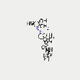 C=C1/C(=C\C=C2/CCC[C@]3(C)C([C@H](C)OCC(=O)NCC(F)(F)C(F)(F)F)=CCC23)C[C@@H](O)C[C@@H]1O